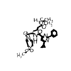 CCOC(=O)N1CCN(C(=O)[C@H](CCCC(=O)OC(C)(C)C)NC(=O)c2cc(C3CC3)nc(-c3ccccc3)n2)CC1